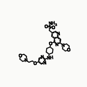 NS(=O)(=O)Cc1cnc2cc(N3CCOCC3)nc(OC3CCC(Nc4ncc(OCCN5CCOCC5)cn4)CC3)c2c1